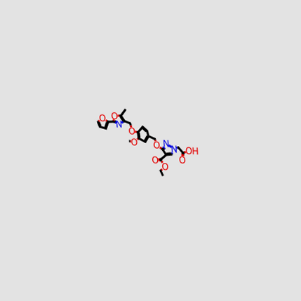 CCOC(=O)c1cn(CC(=O)O)nc1OCc1ccc(OCc2nc(-c3ccco3)oc2C)c(OC)c1